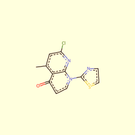 Cc1cc(Cl)nc2c1c(=O)ccn2-c1nccs1